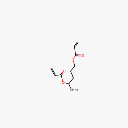 C=CC(=O)OCCCC(CCCCCC)OC(=O)C=C